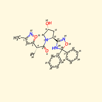 Cc1cc([C@H](C(=O)N2C[C@H](O)C[C@H]2C2=NOC(c3ccccc3)(c3ccccc3)N2)C(C)C)on1